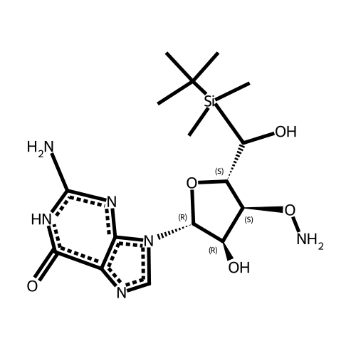 CC(C)(C)[Si](C)(C)C(O)[C@H]1O[C@@H](n2cnc3c(=O)[nH]c(N)nc32)[C@H](O)[C@@H]1ON